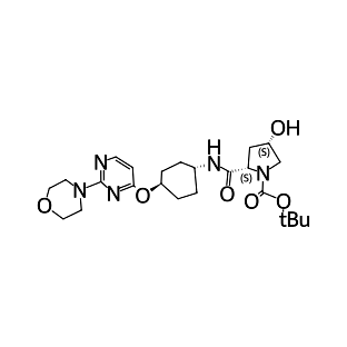 CC(C)(C)OC(=O)N1C[C@@H](O)C[C@H]1C(=O)N[C@H]1CC[C@H](Oc2ccnc(N3CCOCC3)n2)CC1